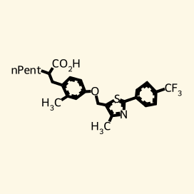 CCCCCC(Cc1ccc(OCc2sc(-c3ccc(C(F)(F)F)cc3)nc2C)cc1C)C(=O)O